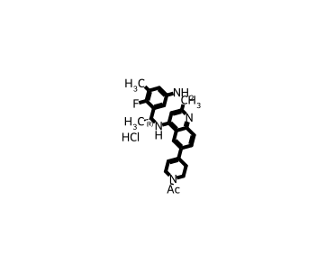 CC(=O)N1CC=C(c2ccc3nc(C)cc(N[C@H](C)c4cc(N)cc(C)c4F)c3c2)CC1.Cl